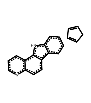 C1=CCC=C1.c1ccc2c(c1)[nH]c1c3cccnc3ccc21